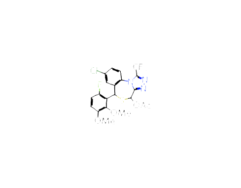 COc1ccc(F)c(C2SC(OC(C)=O)c3nnc(C(F)(F)F)n3-c3ccc(Cl)cc32)c1OC